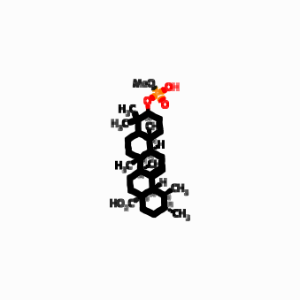 COP(=O)(O)O[C@H]1CC[C@@]2(C)C(CC[C@]3(C)[C@@H]2CC=C2[C@@H]4[C@@H](C)[C@H](C)CC[C@]4(C(=O)O)CC[C@]23C)C1(C)C